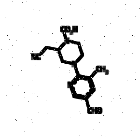 Cc1cc(C=O)cnc1N1CCN(C(=O)O)C(CC#N)C1